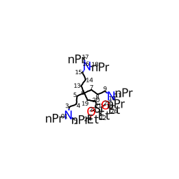 CCCN(CCC)CCCC(CCCN(CCC)CCC)(CCCN(CCC)CCC)CC[Si](CC)(OCC)OCC